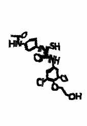 CC(=O)Nc1ccc(N(S)C(=O)Nc2cc(Cl)c(OCCO)c(Cl)c2)cc1